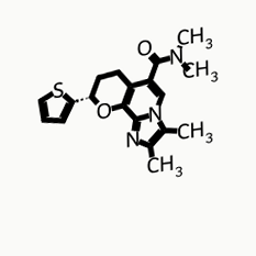 Cc1nc2c3c(c(C(=O)N(C)C)cn2c1C)CC[C@@H](c1cccs1)O3